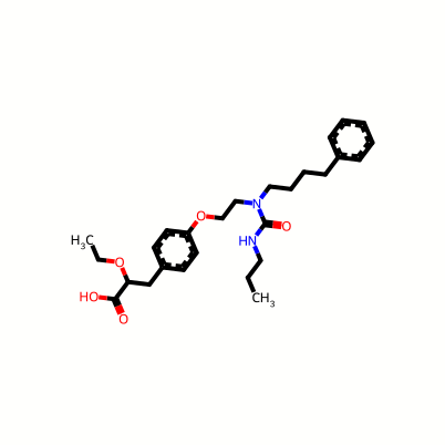 CCCNC(=O)N(CCCCc1ccccc1)CCOc1ccc(CC(OCC)C(=O)O)cc1